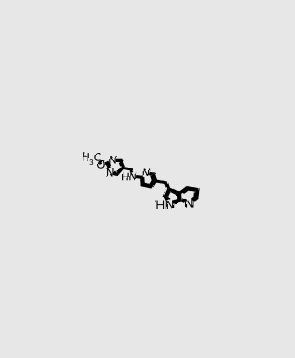 COc1ncc(CNc2ccc(Cc3c[nH]c4ncccc34)cn2)cn1